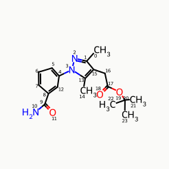 Cc1nn(-c2cccc(C(N)=O)c2)c(C)c1CC(=O)OC(C)(C)C